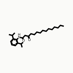 CCCCCCCCCCCCC(=O)CC(=O)Nc1c(C(C)C)cccc1C(C)C